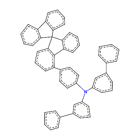 c1ccc(-c2cccc(N(c3ccc(-c4cccc5c4-c4ccccc4C54c5ccccc5-c5ccccc54)cc3)c3cccc(-c4ccccc4)c3)c2)cc1